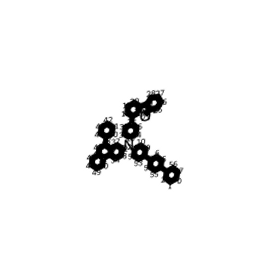 c1ccc(-c2ccc(-c3ccc(N(c4ccc(-c5cccc6c5oc5ccccc56)cc4)c4ccc5c(c4)c(-c4ccccc4)cc4ccccc45)cc3)cc2)cc1